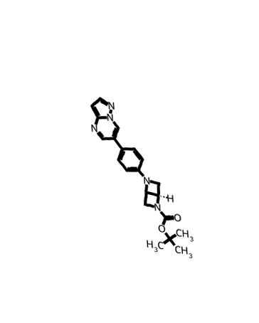 CC(C)(C)OC(=O)N1CC2[C@H]1CN2c1ccc(-c2cnc3ccnn3c2)cc1